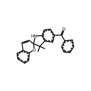 CC1(C)c2cc(C(=O)c3ccccc3)ccc2NC12C=Cc1ccccc1O2